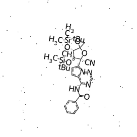 CC(C)(C)[Si](C)(C)O[C@@H]1[C@H](O[Si](C)(C)C(C)(C)C)C2(CO2)O[C@@]1(C#N)c1ccc2c(NC(=O)c3ccccc3)ncnn12